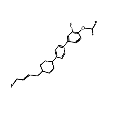 FC/C=C/CC1CCC(c2ccc(-c3ccc(OC(F)F)c(F)c3)cc2)CC1